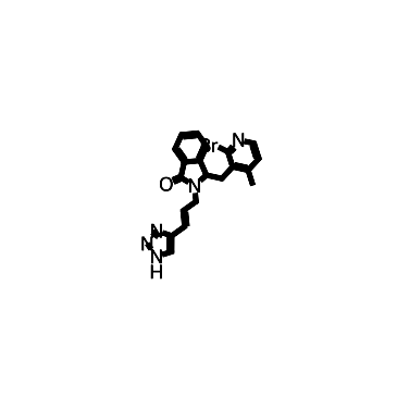 Cc1ccnc(Br)c1CC1c2ccccc2C(=O)N1C/C=C/c1c[nH]nn1